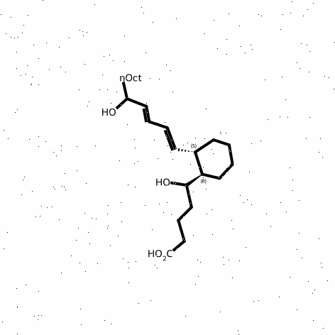 CCCCCCCCC(O)C=CC=C[C@@H]1CCCC[C@H]1C(O)CCCC(=O)O